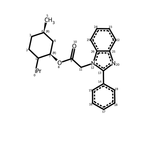 CC(C)C1CC[C@@H](C)C[C@H]1OC(=O)Cn1c(-c2ccccc2)nc2ccccc21